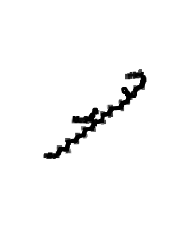 CCCCCC/C=C\COC(=O)CCCCCCCN(CCCCCCCCCCCCCCCCCC)C(=O)SC